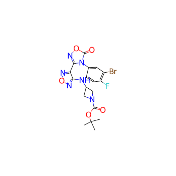 CC(C)(C)OC(=O)N1CC(Nc2nonc2-c2noc(=O)n2-c2ccc(F)c(Br)c2)C1